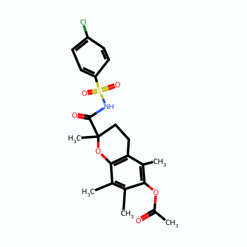 CC(=O)Oc1c(C)c(C)c2c(c1C)CCC(C)(C(=O)NS(=O)(=O)c1ccc(Cl)cc1)O2